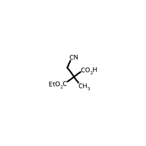 CCOC(=O)C(C)(CC#N)C(=O)O